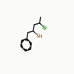 CC(Br)CC(S)Cc1ccccc1